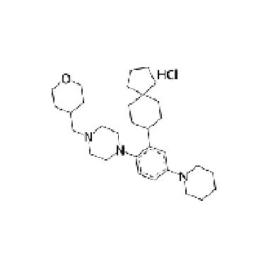 Cl.c1cc(N2CCN(CC3CCOCC3)CC2)c(C2CCC3(CCCC3)CC2)cc1N1CCCCC1